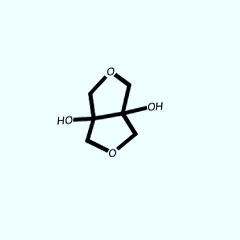 OC12COCC1(O)COC2